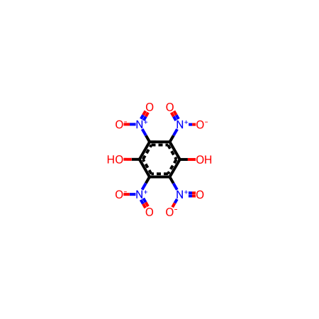 O=[N+]([O-])c1c(O)c([N+](=O)[O-])c([N+](=O)[O-])c(O)c1[N+](=O)[O-]